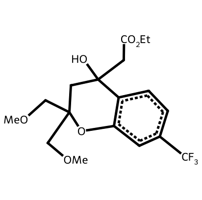 CCOC(=O)CC1(O)CC(COC)(COC)Oc2cc(C(F)(F)F)ccc21